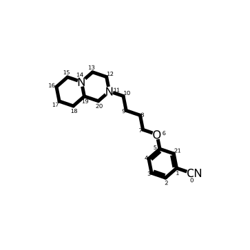 N#Cc1cccc(OCCCCN2CCN3CCCCC3C2)c1